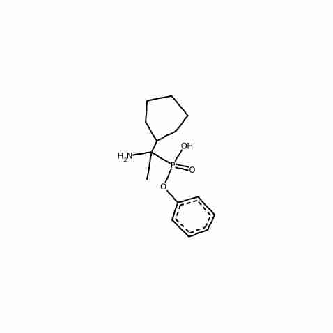 CC(N)(C1CCCCC1)P(=O)(O)Oc1ccccc1